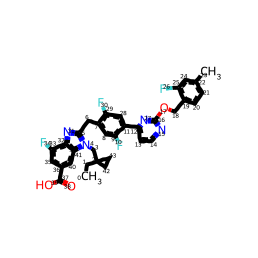 CCC1(Cn2c(Cc3cc(F)c(-c4ccnc(OCc5ccc(C)cc5F)n4)cc3F)nc3c(F)cc(C(=O)O)cc32)CC1